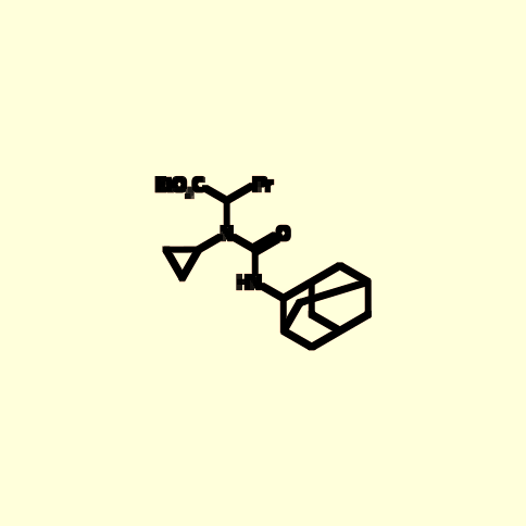 CCOC(=O)C(C(C)C)N(C(=O)NC1C2CC3CC(C2)CC1C3)C1CC1